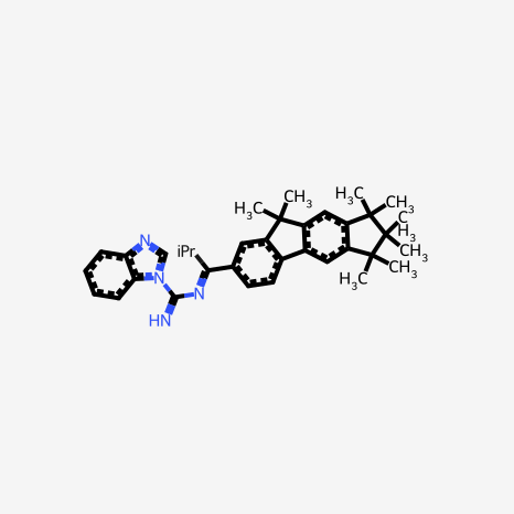 CC(C)/C(=N\C(=N)n1cnc2ccccc21)c1ccc2c(c1)C(C)(C)c1cc3c(cc1-2)C(C)(C)C(C)(C)C3(C)C